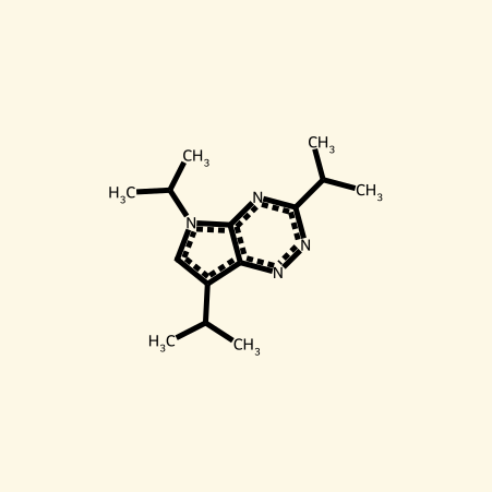 CC(C)c1nnc2c(C(C)C)cn(C(C)C)c2n1